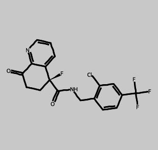 O=C1CC[C@@](F)(C(=O)NCc2ccc(C(F)(F)F)cc2Cl)c2cccnc21